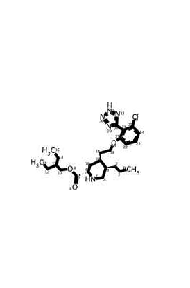 CCC[C@H]1CN[C@H](C(=O)OCC(CC)CC)C[C@H]1CCOc1cccc(Cl)c1-c1nn[nH]n1